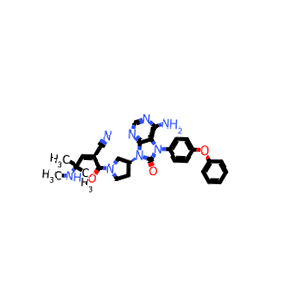 CNC(C)(C)/C=C(/C#N)C(=O)N1CC[C@H](n2c(=O)n(-c3ccc(Oc4ccccc4)cc3)c3c(N)ncnc32)C1